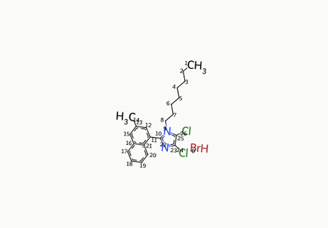 Br.CCCCCCCCn1c(-c2cc(C)cc3ccccc23)nc(Cl)c1Cl